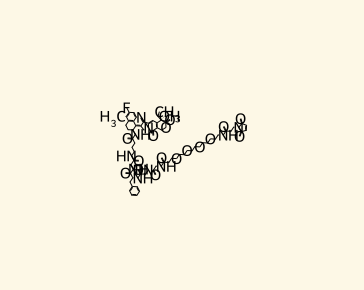 CC[C@@]1(O)C(=O)OCc2c1cc1n(c2=O)Cc2c-1nc1cc(F)c(C)c3c1c2[C@@H](NC(=O)CCCNC(=O)CNC(=O)C(Cc1ccccc1)NC(=O)CNC(=O)CNC(=O)CCOCCOCCOCCOCCNC(=O)CCN1C(=O)C=CC1=O)CC3